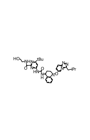 CC(C)Cc1nnc2ccc(O[C@@H]3CC[C@H](NC(=O)Nc4cc(C(C)(C)C)nc(C(=O)NCCO)n4)c4ccccc43)cn12